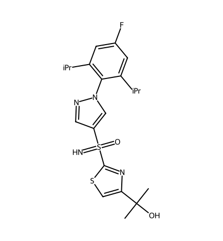 CC(C)c1cc(F)cc(C(C)C)c1-n1cc(S(=N)(=O)c2nc(C(C)(C)O)cs2)cn1